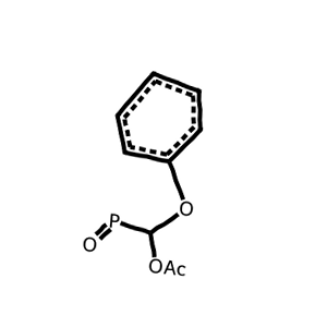 CC(=O)OC(Oc1ccccc1)P=O